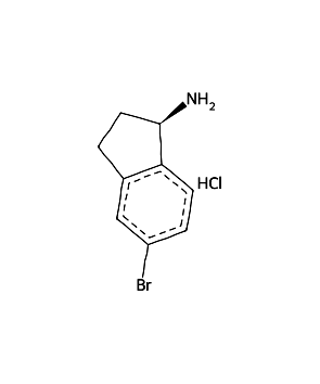 Cl.N[C@@H]1CCc2cc(Br)ccc21